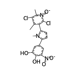 Cc1c(Cl)c(C)[n+]([O-])c(Cl)c1-c1ccc(-c2cc(O)c(O)c([N+](=O)[O-])c2)n1C